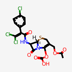 CC(=O)OCC1=C(OC(=O)O)N2C(=O)C(NC(=O)C(=C(Cl)Cl)c3ccc(Cl)cc3)[C@@H]2SC1